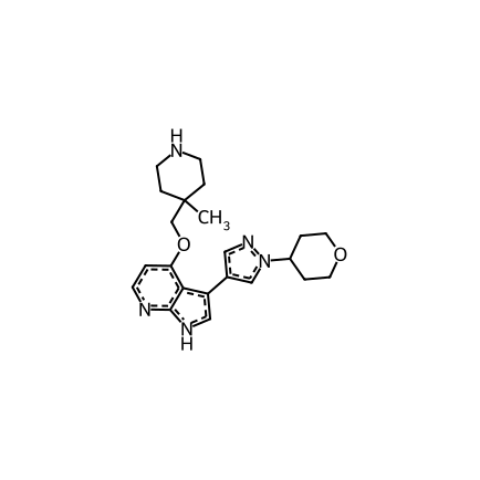 CC1(COc2ccnc3[nH]cc(-c4cnn(C5CCOCC5)c4)c23)CCNCC1